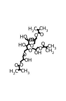 C=C(C)C(=O)OCC(O)COCC(OCC(O)COC(=O)C(=C)C)C(O)C(OCC(O)COC(=O)C(=C)C)C(O)CO